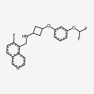 Fc1ccc2cnccc2c1CNC1CC(Oc2cccc(OC(F)F)c2)C1